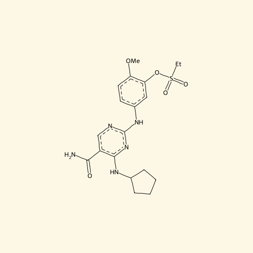 CCS(=O)(=O)Oc1cc(Nc2ncc(C(N)=O)c(NC3CCCC3)n2)ccc1OC